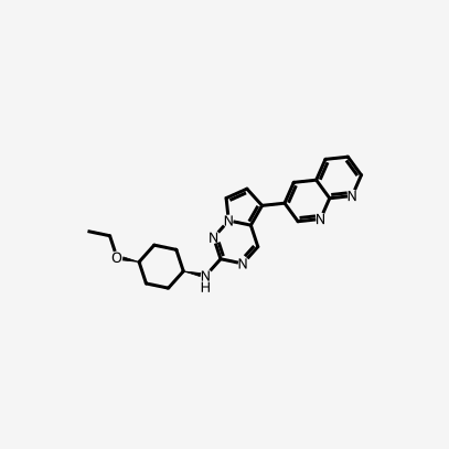 CCO[C@H]1CC[C@@H](Nc2ncc3c(-c4cnc5ncccc5c4)ccn3n2)CC1